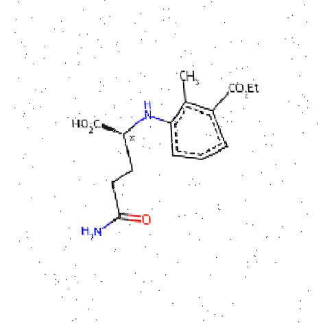 CCOC(=O)c1cccc(N[C@@H](CCC(N)=O)C(=O)O)c1C